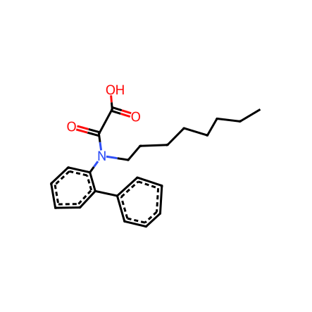 CCCCCCCCN(C(=O)C(=O)O)c1ccccc1-c1ccccc1